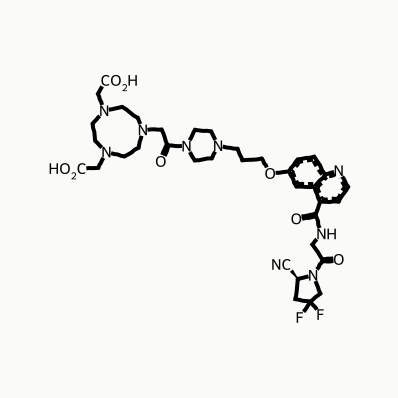 N#C[C@@H]1CC(F)(F)CN1C(=O)CNC(=O)c1ccnc2ccc(OCCCN3CCN(C(=O)CN4CCN(CC(=O)O)CCN(CC(=O)O)CC4)CC3)cc12